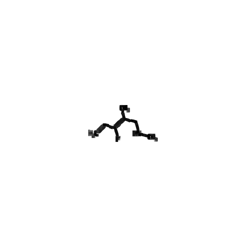 C=C/C(F)=C(\C)CNC